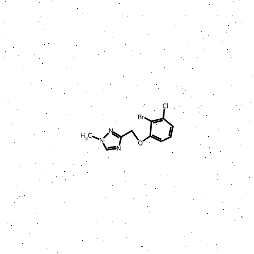 Cn1cnc(COc2cccc(Cl)c2Br)n1